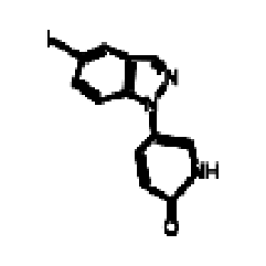 O=c1ccc(-n2ncc3cc(I)ccc32)c[nH]1